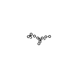 CC1(C)c2cc(-c3ccccc3)ccc2-c2ccc(N(c3ccc(-c4ccc(-c5cccc6c5sc5ccccc56)cc4)cc3)c3ccc4ccccc4c3)cc21